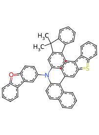 CC1(C)c2ccccc2-c2ccc(N(c3ccc4oc5ccccc5c4c3)c3ccc4ccccc4c3-c3ccc4c(c3)sc3ccccc34)cc21